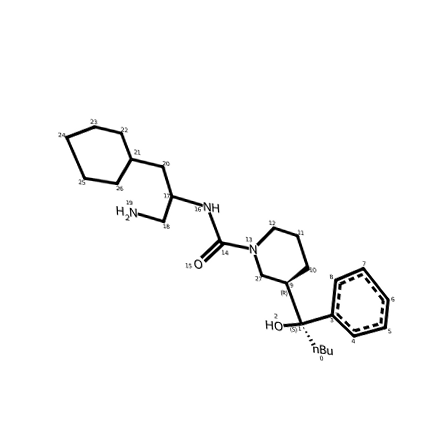 CCCC[C@@](O)(c1ccccc1)[C@@H]1CCCN(C(=O)NC(CN)CC2CCCCC2)C1